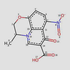 CC1COc2ccc([N+](=O)[O-])c3c(=O)c(C(=O)O)cn1c23